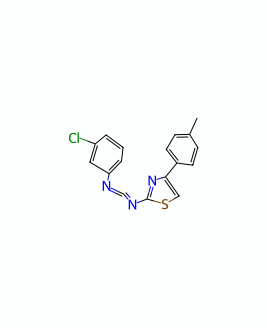 Cc1ccc(-c2csc(N=C=Nc3cccc(Cl)c3)n2)cc1